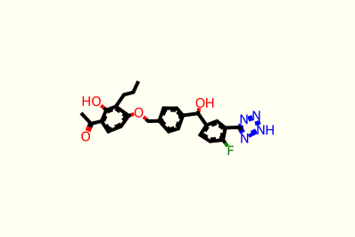 CCCc1c(OCc2ccc(C(O)c3ccc(F)c(-c4nn[nH]n4)c3)cc2)ccc(C(C)=O)c1O